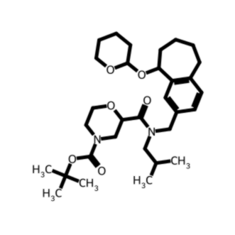 CC(C)CN(Cc1ccc2c(c1)C(OC1CCCCO1)CCCC2)C(=O)C1CN(C(=O)OC(C)(C)C)CCO1